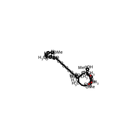 COc1ccc(-c2ccc3ncc4c(c3c2)n(-c2ccc(N3CCN(C(=O)CCOCCOCCOCCOCCOCCOCCNC(=O)CON=C5[C@H](C)C[C@H](C)/C=C/C=C/C=C(\C)[C@@H](OC)C[C@@H]6CC[C@@H](C)[C@@](O)(O6)C(=O)C(=O)N6CCCC[C@H]6C(=O)O[C@H]([C@H](C)C[C@@H]6CC[C@@H](O)[C@H](OC)C6)C[C@@H](O)[C@H](C)/C=C(\C)[C@@H](O)[C@H]5OC)CC3)c(C(F)(F)F)c2)c(=O)n4C)cn1